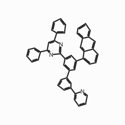 c1ccc(-c2cc(-c3ccccc3)nc(-c3cc(-c4cccc(-c5ccccn5)c4)cc(-c4cccc5cc6ccccc6cc45)c3)n2)cc1